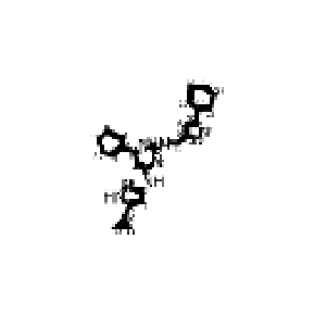 C1=CC(c2cc(Nc3cc(C4CC4)[nH]n3)nc(NCc3cc(-c4ccccc4)no3)n2)=CCC1